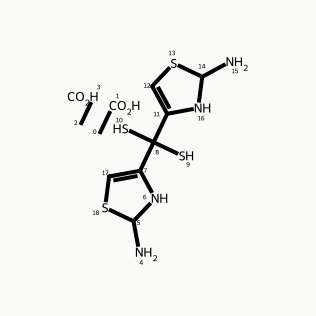 CC(=O)O.CC(=O)O.NC1NC(C(S)(S)C2=CSC(N)N2)=CS1